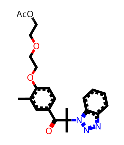 CC(=O)OCCOCCOc1ccc(C(=O)C(C)(C)n2nnc3ccccc32)cc1C